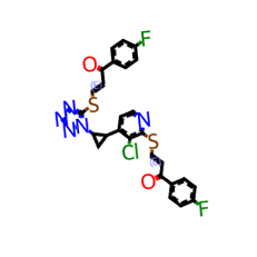 O=C(/C=C/Sc1nccc(C2CC2n2nnnc2S/C=C/C(=O)c2ccc(F)cc2)c1Cl)c1ccc(F)cc1